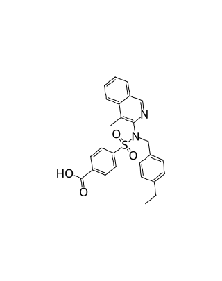 CCc1ccc(CN(c2ncc3ccccc3c2C)S(=O)(=O)c2ccc(C(=O)O)cc2)cc1